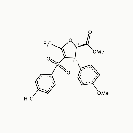 COC(=O)[C@@H]1OC(C(F)(F)F)=C(S(=O)(=O)c2ccc(C)cc2)[C@H]1c1ccc(OC)cc1